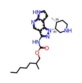 CCCCCC(C)COC(=O)Nc1nn([C@H]2CNCC[C@H]2C)c2c1cnc1[nH]ccc12